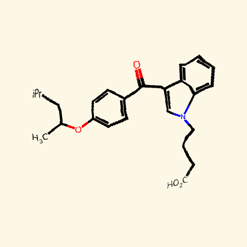 CC(C)CC(C)Oc1ccc(C(=O)c2cn(CCCC(=O)O)c3ccccc23)cc1